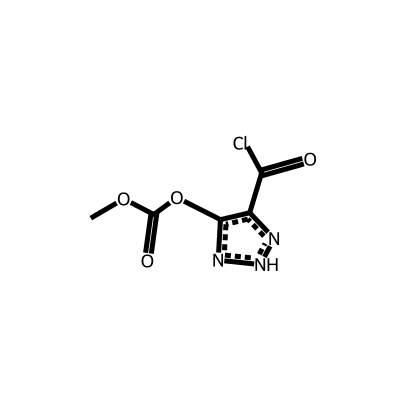 COC(=O)Oc1n[nH]nc1C(=O)Cl